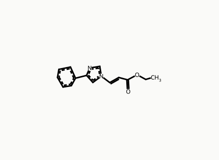 CCOC(=O)/C=C/n1cnc(-c2ccccc2)c1